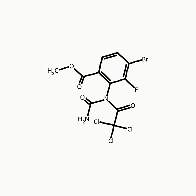 COC(=O)c1ccc(Br)c(F)c1N(C(N)=O)C(=O)C(Cl)(Cl)Cl